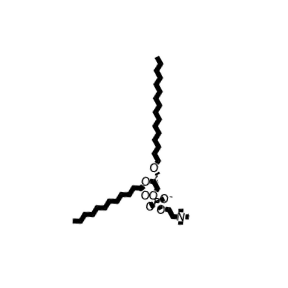 CCCCCCCCCCCCCCCCOC[C@H](COP(=O)([O-])OCC[N+](C)(C)C)OC(=O)CCCCCCCCCCC